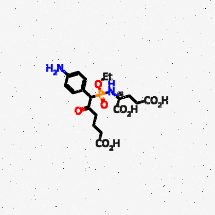 CCOP(=O)(N[C@@H](CCC(=O)O)C(=O)O)C(C(=O)CCCC(=O)O)c1ccc(N)cc1